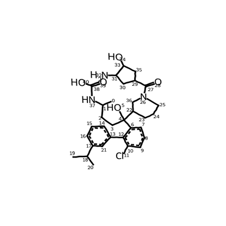 CC(CCC(O)(c1cccc(Cl)c1-c1cccc(C(C)C)c1)C1CCCN(C(=O)C2CC(N)C(O)C2)C1)NC(=O)O